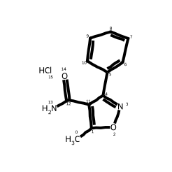 Cc1onc(-c2ccccc2)c1C(N)=O.Cl